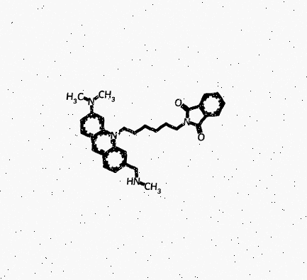 CNCc1ccc2cc3ccc(N(C)C)cc3[n+](CCCCCCN3C(=O)c4ccccc4C3=O)c2c1